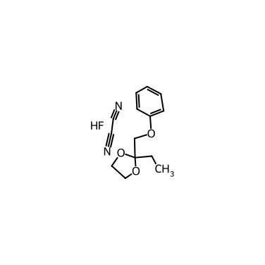 CCC1(COc2ccccc2)OCCO1.F.N#CC#N